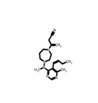 C=C(CC#N)N1CCCN(N(C)c2ncnc(C)c2/C=C\CC)CC1